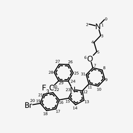 CN(C)CCCOc1cccc(-c2ccc(-c3ccc(Br)cc3)n2-c2ccccc2C(F)(F)F)c1